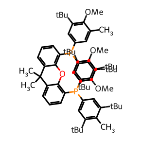 COc1c(C)cc(P(c2cc(C(C)(C)C)c(OC)c(C(C)(C)C)c2)c2cccc3c2Oc2c(P(c4cc(C(C)(C)C)c(C)c(C(C)(C)C)c4)c4cc(C(C)(C)C)c(OC)c(C(C)(C)C)c4)cccc2C3(C)C)cc1C(C)(C)C